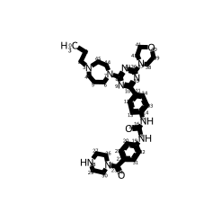 CCCN1CCCN(c2nc(-c3ccc(NC(=O)Nc4ccc(C(=O)N5CCNCC5)cc4)cc3)nc(N3CCOCC3)n2)CC1